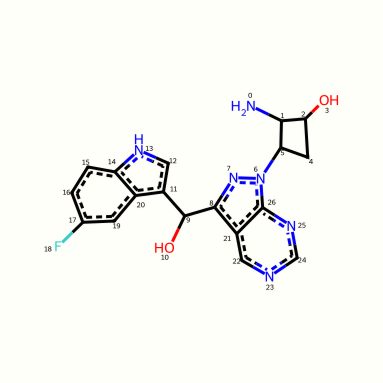 NC1C(O)CC1n1nc(C(O)c2c[nH]c3ccc(F)cc23)c2cncnc21